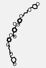 O=C(Oc1ccc(OCCCCOCC2CCC3OC3C2)cc1)c1ccc(C(=O)Oc2ccc(OCCCCOCC3CCC4OC4C3)cc2)cc1